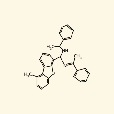 C/C(=N\C(NC(C)c1ccccc1)c1cccc2c1oc1cccc(C)c12)c1ccccc1